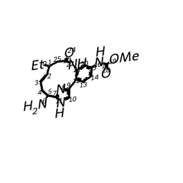 CCC1/C=C/CC(N)c2nc(c[nH]2)-c2ccc(NC(=O)OC)cc2NC(=O)C1